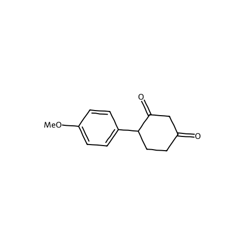 COc1ccc(C2CCC(=O)CC2=O)cc1